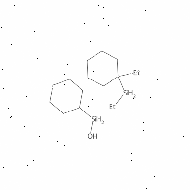 CC[SiH2]C1(CC)CCCCC1.O[SiH2]C1CCCCC1